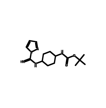 CC(C)(C)OC(=O)NC1CCC(NC(=N)n2cccn2)CC1